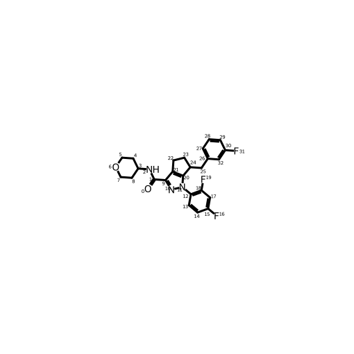 O=C(NC1CCOCC1)c1nn(-c2ccc(F)cc2F)c2c1CCC2Cc1cccc(F)c1